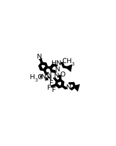 C[C@@H](CC1CC1)Nc1cc(-c2cc(C#N)ccc2-c2nncn2C)cc(N2Cc3c(cc(CN4CCC5(CC5)C4)cc3C(F)(F)F)C2=O)n1